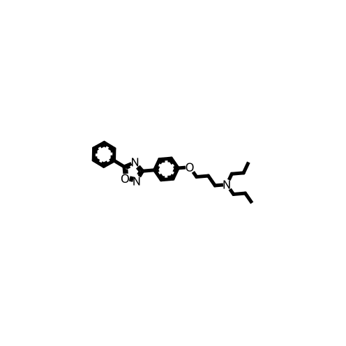 CCCN(CCC)CCCOc1ccc(-c2noc(-c3ccccc3)n2)cc1